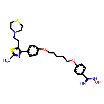 Cc1nc(-c2ccc(OCCCCCOc3ccc(C(=N)NO)cc3)cc2)c(CCN2CCSCC2)s1